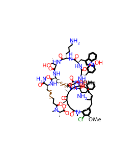 COc1cc2cc(c1Cl)N(C)C(=O)C[C@H](OC(=O)[C@H](C)N(C)C(=O)CCSSC[C@H](NC(=O)[C@@H]1CSSC[C@H](NC(=O)[C@H](N)Cc3ccccc3)C(=O)N[C@@H](Cc3ccc(O)cc3)C(=O)N[C@H](Cc3c[nH]c4ccccc34)C(=O)N[C@@H](CCCCN)C(=O)N[C@@H]([C@@H](C)O)C(=O)N1)C(N)=O)[C@]1(C)OC1[C@H](C)[C@@H]1C[C@@](O)(NC(=O)O1)[C@H](OC)/C=C/C=C(\C)C2